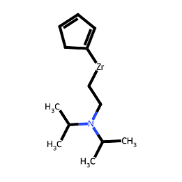 CC(C)N(C[CH2][Zr][C]1=CC=CC1)C(C)C